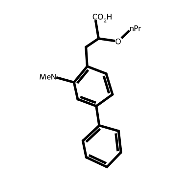 CCCOC(Cc1ccc(-c2ccccc2)cc1NC)C(=O)O